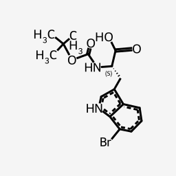 CC(C)(C)OC(=O)N[C@@H](Cc1c[nH]c2c(Br)cccc12)C(=O)O